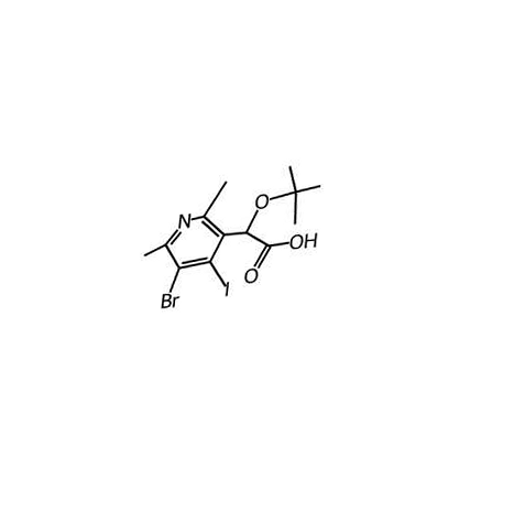 Cc1nc(C)c(C(OC(C)(C)C)C(=O)O)c(I)c1Br